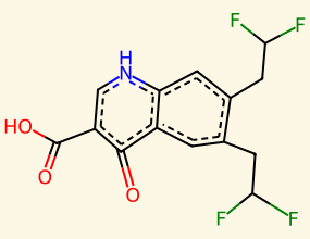 O=C(O)c1c[nH]c2cc(CC(F)F)c(CC(F)F)cc2c1=O